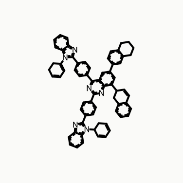 C1=CCCC(n2c(-c3ccc(-c4nc(-c5ccc(-c6nc7ccccc7n6C6C=CC=CC6)cc5)nc5c(C6C=Cc7ccccc7C6)cc(-c6ccc7c(c6)CCCC7)cc45)cc3)nc3ccccc32)=C1